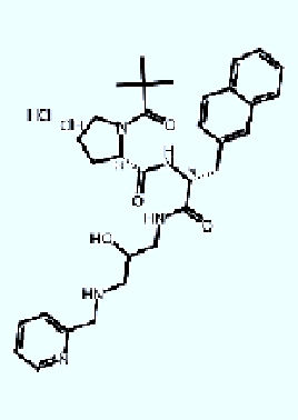 CC(C)(C)C(=O)N1CCC[C@H]1C(=O)N[C@H](Cc1ccc2ccccc2c1)C(=O)NCC(O)CNCc1ccccn1.Cl.Cl